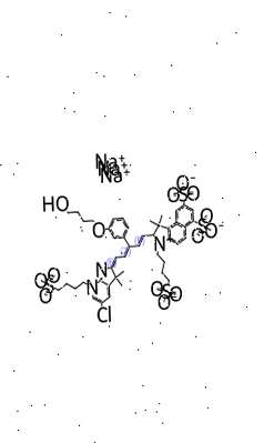 CC1(C)C2=CC(Cl)=CN(CCCCS(=O)(=O)[O-])C2=N/C1=C/C=C(/C=C/C1=[N+](CCCCS(=O)(=O)[O-])c2ccc3c(S(=O)(=O)[O-])cc(S(=O)(=O)[O-])cc3c2C1(C)C)c1cccc(OCCCCO)c1.[Na+].[Na+].[Na+]